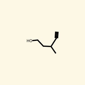 C#CC(C)CCO